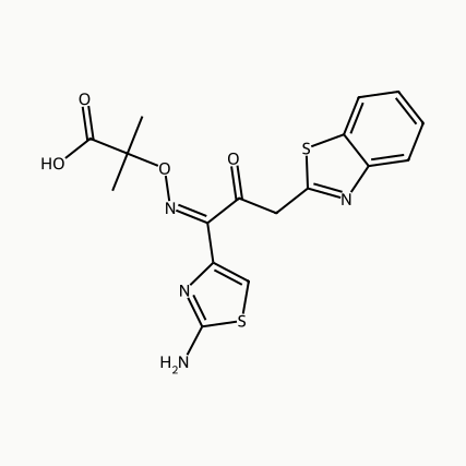 CC(C)(O/N=C(\C(=O)Cc1nc2ccccc2s1)c1csc(N)n1)C(=O)O